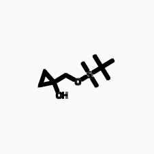 CC(C)(C)[Si](C)(C)OCC1(O)CC1